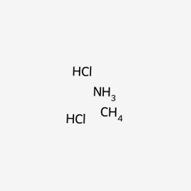 C.Cl.Cl.N